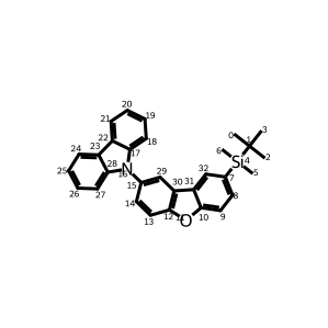 CC(C)(C)[Si](C)(C)c1ccc2oc3ccc(-n4c5ccccc5c5ccccc54)cc3c2c1